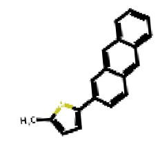 Cc1ccc(-c2ccc3cc4ccccc4cc3c2)s1